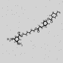 CCC1CCC(C(=O)Oc2ccc(C=CC(=O)OCCCCCCOC(=O)c3cc(N)cc(N)c3)cc2)CC1